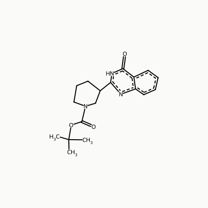 CC(C)(C)OC(=O)N1CCCC(c2nc3ccccc3c(=O)[nH]2)C1